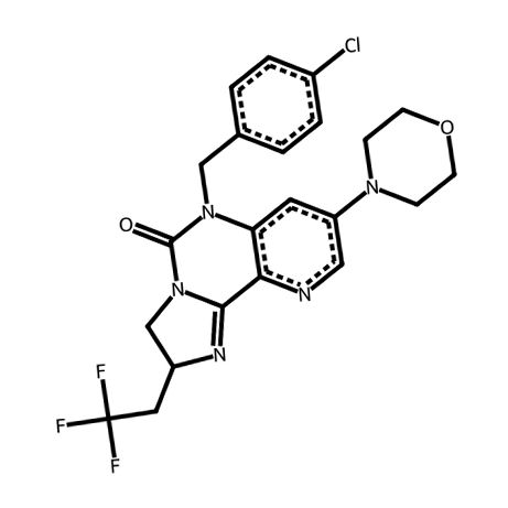 O=C1N2CC(CC(F)(F)F)N=C2c2ncc(N3CCOCC3)cc2N1Cc1ccc(Cl)cc1